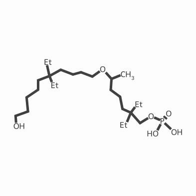 CCC(CC)(CCCCCO)CCCCOC(C)CCCC(CC)(CC)COP(=O)(O)O